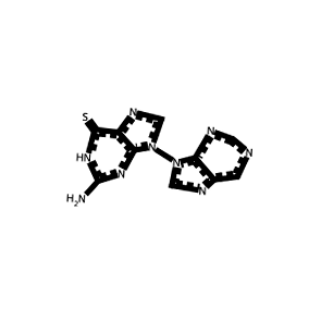 Nc1nc2c(ncn2-n2cnc3cncnc32)c(=S)[nH]1